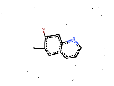 Cc1cc2cccnc2cc1Br